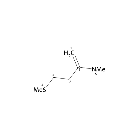 C=C(CCSC)NC